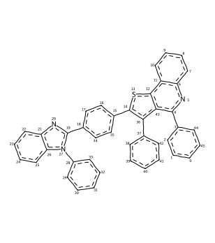 c1ccc(-c2nc3ccccc3c3sc(-c4ccc(-c5nc6ccccc6n5-c5ccccc5)cc4)c(-c4ccccc4)c23)cc1